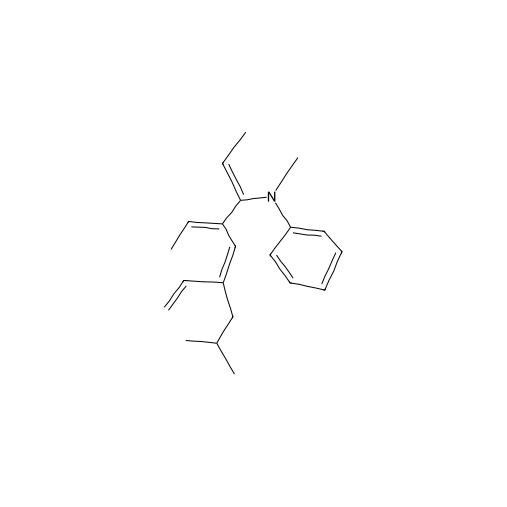 C=C\C(=C/C(=C\C)C(=C/C)/N(C)c1ccccc1)CC(C)C